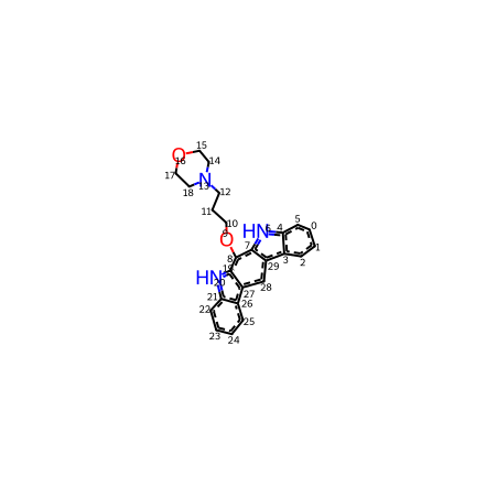 c1ccc2c(c1)[nH]c1c(OCCCN3CCOCC3)c3[nH]c4ccccc4c3cc12